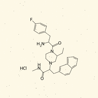 CCC1CN(C(Cc2ccc3ccccc3c2)C(=O)NC)CCN1C(=O)C(N)Cc1ccc(F)cc1.Cl